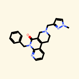 Cn1ccc(CN2CCc3c(c(=O)n(Cc4ccccc4)c4ncccc34)C2)n1